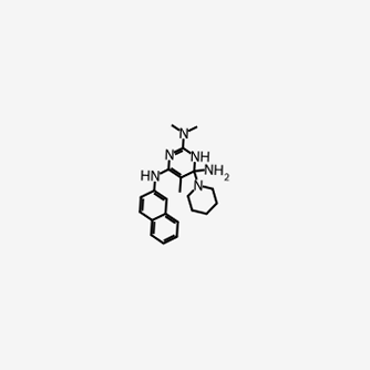 CC1=C(Nc2ccc3ccccc3c2)N=C(N(C)C)NC1(N)N1CCCCC1